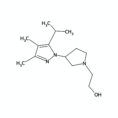 Cc1nn(C2CCN(CCO)C2)c(C(C)C)c1C